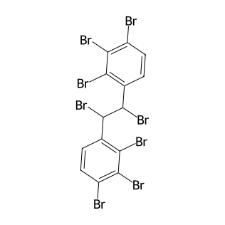 Brc1ccc(C(Br)C(Br)c2ccc(Br)c(Br)c2Br)c(Br)c1Br